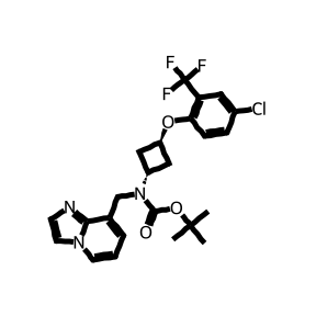 CC(C)(C)OC(=O)N(Cc1cccn2ccnc12)[C@H]1C[C@H](Oc2ccc(Cl)cc2C(F)(F)F)C1